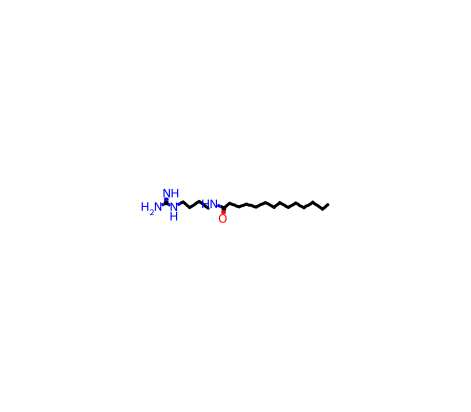 CCCCCCCCCCCCCC(=O)NCCCCNC(=N)N